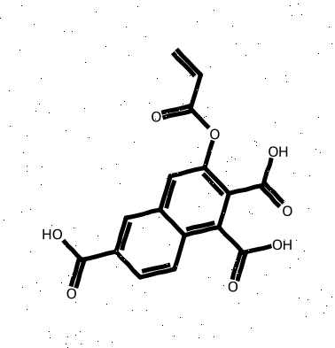 C=CC(=O)Oc1cc2cc(C(=O)O)ccc2c(C(=O)O)c1C(=O)O